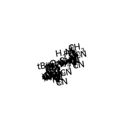 C[C@@H](Cc1sc2c(N(Cc3cccs3)C(=O)OC(C)(C)C)nc(C#N)nc2c1C#N)NC(=O)OC(C)(C)C.C[C@H](N)Cc1sc2c(NCc3cccs3)nc(C#N)nc2c1C#N